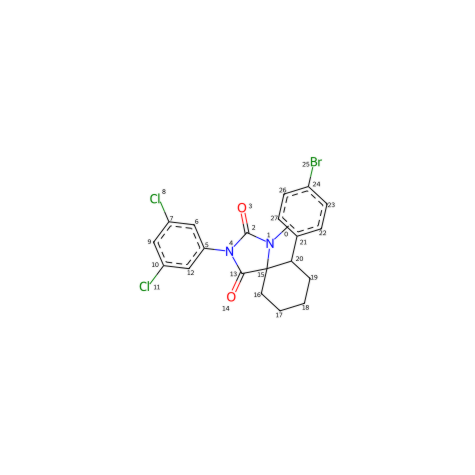 CN1C(=O)N(c2cc(Cl)cc(Cl)c2)C(=O)C12CCCCC2c1ccc(Br)cc1